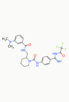 CN(C)c1cccc(C(=O)NCC2CCCCN2C(=O)Nc2ccc(C(=N)NC(=O)C(F)(F)F)cc2)c1